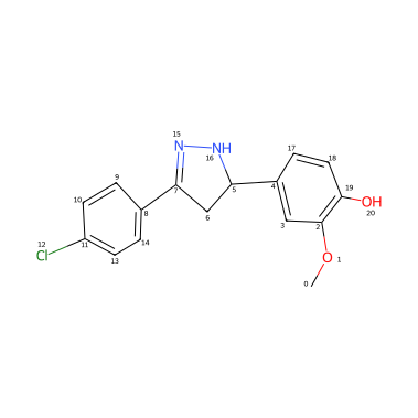 COc1cc(C2CC(c3ccc(Cl)cc3)=NN2)ccc1O